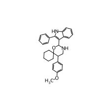 COc1ccc(C2CNC(c3c(-c4ccccc4)[nH]c4ccccc34)OC23CCCCC3)cc1